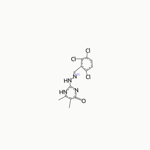 Cc1[nH]c(N/N=C/c2c(Cl)ccc(Cl)c2Cl)nc(=O)c1C